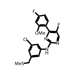 COc1cc(F)ccc1-c1nc(Nc2cc(Cl)cc(CSC)c2)ncc1F